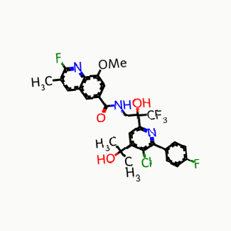 COc1cc(C(=O)NCC(O)(c2cc(C(C)(C)O)c(Cl)c(-c3ccc(F)cc3)n2)C(F)(F)F)cc2cc(C)c(F)nc12